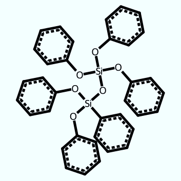 c1ccc(O[Si](Oc2ccccc2)(Oc2ccccc2)O[Si](Oc2ccccc2)(Oc2ccccc2)c2ccccc2)cc1